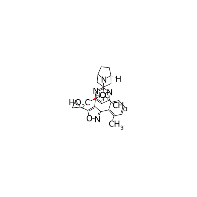 Cc1cc(C(=O)O)nc(N2C3CC[C@H]2CC(OCc2c(-c4c(C)cccc4C)noc2C2CC2)C3)n1